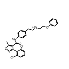 Cc1onc(-c2c(Cl)cccc2Cl)c1C(=O)Nc1ccc(CCNCCOc2ccccc2)cc1